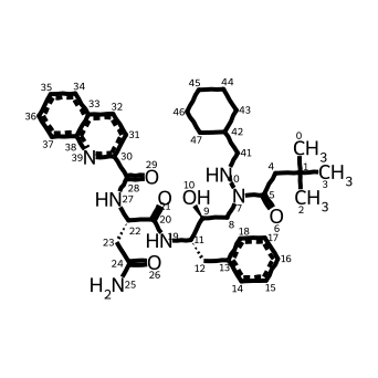 CC(C)(C)CC(=O)N(C[C@H](O)[C@H](Cc1ccccc1)NC(=O)[C@H](CC(N)=O)NC(=O)c1ccc2ccccc2n1)NCC1CCCCC1